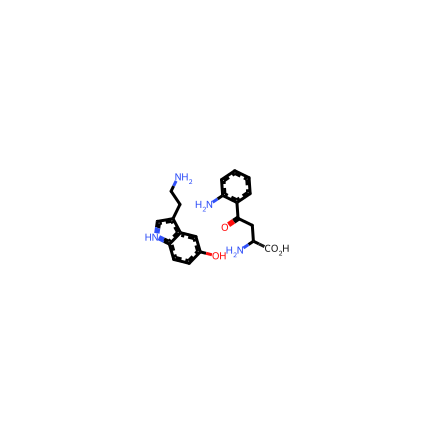 NCCc1c[nH]c2ccc(O)cc12.Nc1ccccc1C(=O)CC(N)C(=O)O